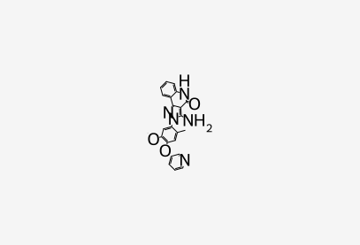 COc1cc(-n2nc3c(c2N)c(=O)[nH]c2ccccc23)c(C)cc1Oc1cccnc1